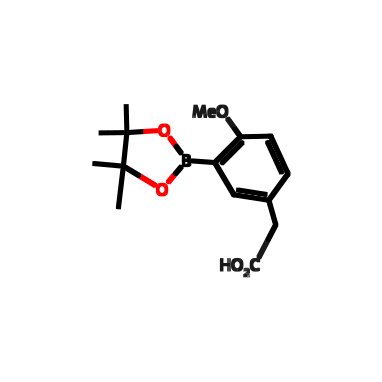 COc1ccc(CC(=O)O)cc1B1OC(C)(C)C(C)(C)O1